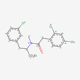 CCOC(=O)C(Cc1cccc(Cl)c1)N(C)C(=O)Cc1ccc(Cl)cc1Cl